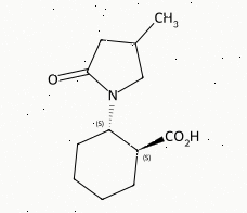 CC1CC(=O)N([C@H]2CCCC[C@@H]2C(=O)O)C1